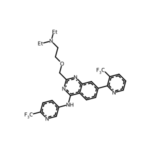 CCN(CC)CCOCc1nc(Nc2ccc(C(F)(F)F)nc2)c2ccc(-c3ncccc3C(F)(F)F)cc2n1